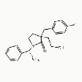 C[C@H](c1ccccc1)N1CCC(CCO)(Cc2ccc(F)cc2)C1=O